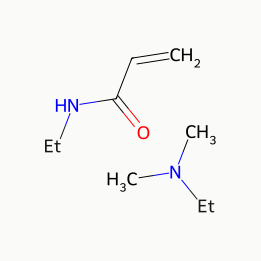 C=CC(=O)NCC.CCN(C)C